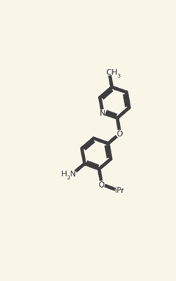 Cc1ccc(Oc2ccc(N)c(OC(C)C)c2)nc1